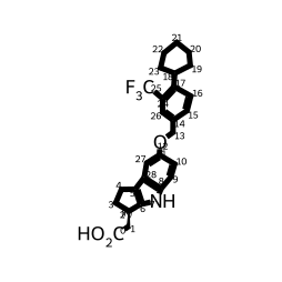 O=C(O)C[C@H]1CCc2c1[nH]c1ccc(OCc3ccc(C4CCCCC4)c(C(F)(F)F)c3)cc21